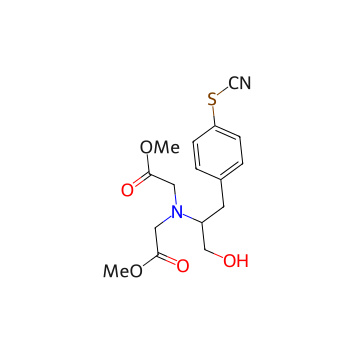 COC(=O)CN(CC(=O)OC)C(CO)Cc1ccc(SC#N)cc1